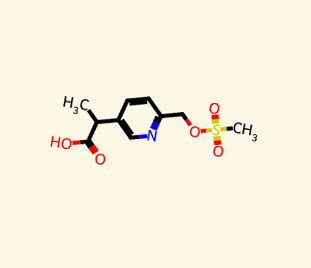 CC(C(=O)O)c1ccc(COS(C)(=O)=O)nc1